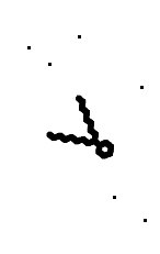 CCCCCCCCC(CCCCCCCC)C1CCCCC1